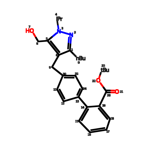 CCCCc1nn(C(C)C)c(CO)c1Cc1ccc(-c2ccccc2C(=O)OC(C)(C)C)cc1